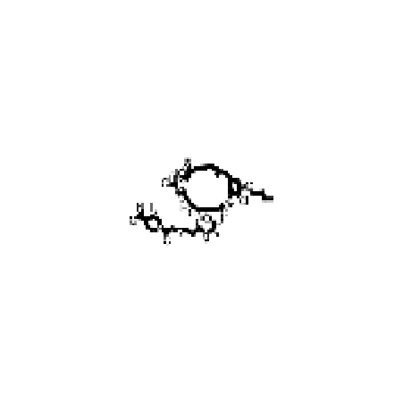 CCCCOc1cc2cc(c1Cl)N(C)C(=O)C[C@H](OC(=O)[C@@H](C)N(C)C(=O)CCSCC(=O)N1CCC(C(N)=O)CC1)[C@]1(C)O[C@H]1[C@H](C)[C@@H]1C[C@@](O)(NC(=O)O1)C(OC)/C=C/C=C(\C)C2